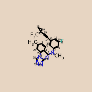 Cc1ccc2c(N(C)c3cc(F)cc(C#CC4(C(F)(F)F)CC4)c3)nc3nncn3c2c1